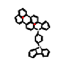 c1ccc(-c2ccc(-c3ccccc3N(c3ccc(-c4ccccc4)cc3)c3ccc(-n4c5ccccc5c5ccccc54)cc3)cc2)cc1